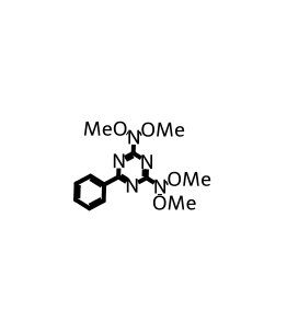 CON(OC)c1nc(-c2ccccc2)nc(N(OC)OC)n1